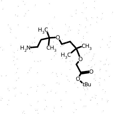 CC(C)(C)OC(=O)COC(C)(C)CCOC(C)(C)CCN